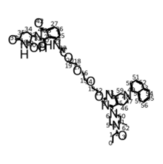 CCC(=O)N1CCN(c2nc(OCCOCCOCCOCCNc3cccc4c3C(=O)N(C3CCC(=O)NC3O)C4=O)nc3c2CCN(c2cccc4ccccc24)C3)C[C@H]1C